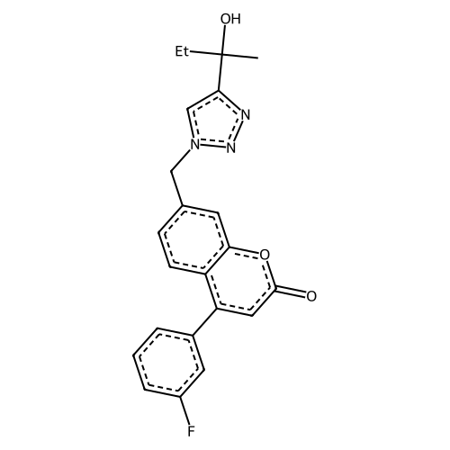 CCC(C)(O)c1cn(Cc2ccc3c(-c4cccc(F)c4)cc(=O)oc3c2)nn1